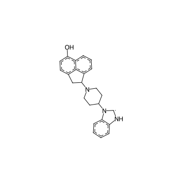 Oc1ccc2c3c(cccc13)C(N1CCC(N3[CH]Nc4ccccc43)CC1)C2